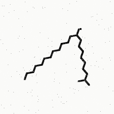 [CH2]C(CCCCCCCCCCCC)CCCCCCCC(C)C